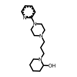 OC1CCCCN1CCCN1CCN(c2ccccn2)CC1